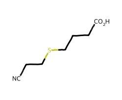 N#CCCSCCCC(=O)O